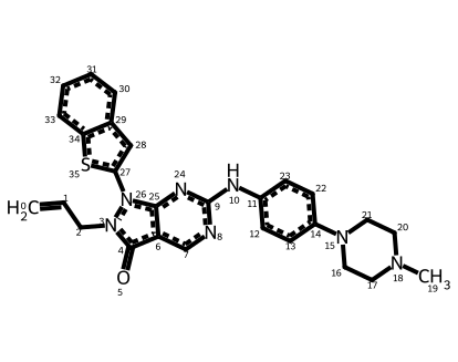 C=CCn1c(=O)c2cnc(Nc3ccc(N4CCN(C)CC4)cc3)nc2n1-c1cc2ccccc2s1